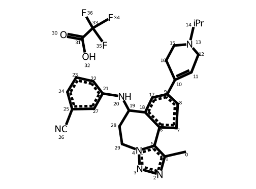 Cc1nnn2c1-c1ccc(C3=CCN(C(C)C)CC3)cc1C(Nc1cccc(C#N)c1)CC2.O=C(O)C(F)(F)F